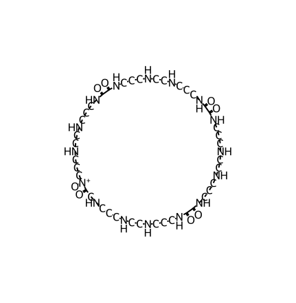 O=C1NCCCNCCNCCCNCC(=O)[N+](=O)CCCNCCNCCCNC(=O)C(=O)NCCCNCCNCCCNC(=O)C(=O)NCCCNCCNCCCNC1=O